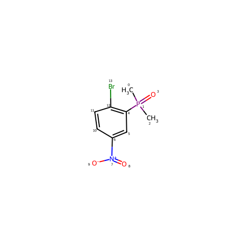 CP(C)(=O)c1cc([N+](=O)[O-])ccc1Br